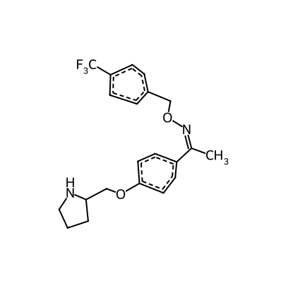 CC(=NOCc1ccc(C(F)(F)F)cc1)c1ccc(OCC2CCCN2)cc1